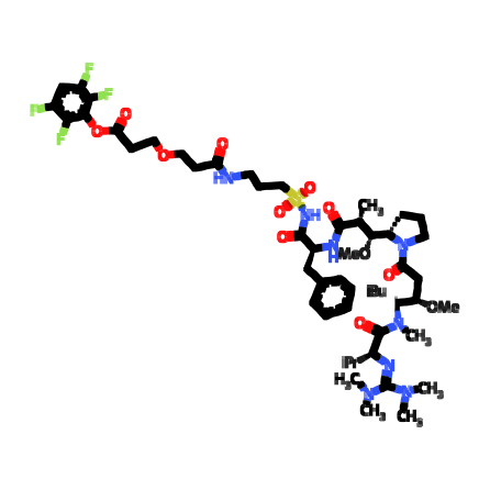 CC[C@H](C)[C@@H]([C@@H](CC(=O)N1CCC[C@H]1[C@H](OC)[C@@H](C)C(=O)N[C@@H](Cc1ccccc1)C(=O)NS(=O)(=O)CCCNC(=O)CCOCCC(=O)Oc1c(F)c(F)cc(F)c1F)OC)N(C)C(=O)[C@@H](N=C(N(C)C)N(C)C)C(C)C